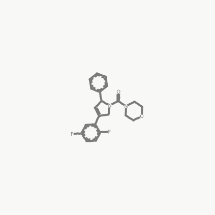 O=C(N1CCOCC1)N1CC(c2cc(F)ccc2F)=CC1c1ccccc1